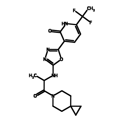 CC(Nc1nnc(-c2ccc(C(C)(F)F)[nH]c2=O)o1)C(=O)N1CCC2(CC1)CC2